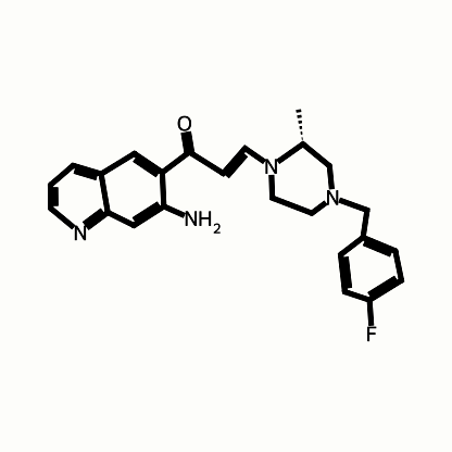 C[C@@H]1CN(Cc2ccc(F)cc2)CCN1/C=C/C(=O)c1cc2cccnc2cc1N